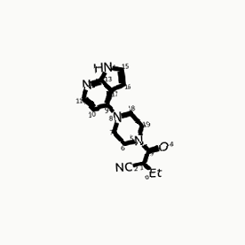 CCC(C#N)C(=O)N1CCN(c2ccnc3[nH]ccc23)CC1